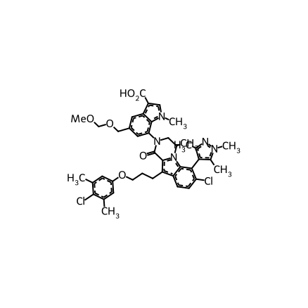 COCOCc1cc(N2CC(C)n3c(c(CCCOc4cc(C)c(Cl)c(C)c4)c4ccc(Cl)c(-c5c(C)nn(C)c5C)c43)C2=O)c2c(c1)c(C(=O)O)cn2C